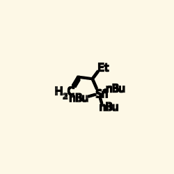 C=C[CH](CC)[Sn]([CH2]CCC)([CH2]CCC)[CH2]CCC